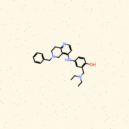 CCN(CC)Cc1cc(Nc2ccnc3c2CN(Cc2ccccc2)CC3)ccc1O